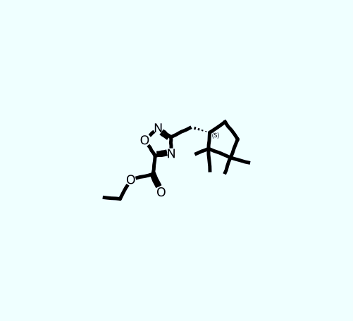 CCOC(=O)c1nc(C[C@@H]2CCC(C)(C)C2(C)C)no1